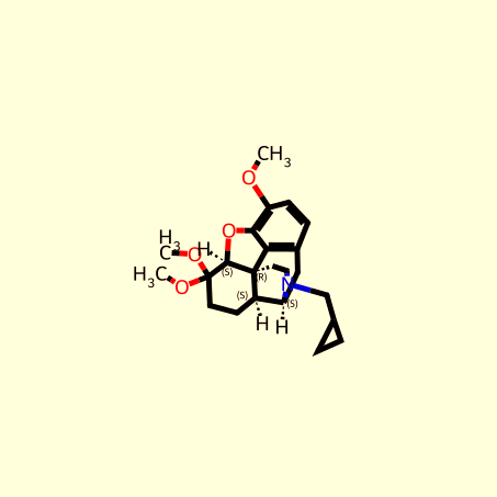 COc1ccc2c3c1O[C@@H]1C(OC)(OC)CC[C@@H]4[C@H](C2)N(CC2CC2)CC[C@]341